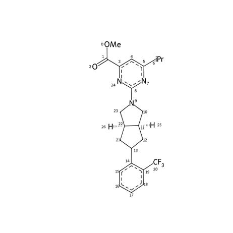 COC(=O)c1cc(C(C)C)nc(N2C[C@H]3CC(c4ccccc4C(F)(F)F)C[C@H]3C2)n1